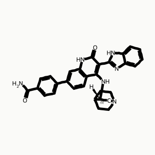 NC(=O)c1ccc(-c2ccc3c(N[C@@H]4CN5CCC4CC5)c(-c4nc5ccccc5[nH]4)c(=O)[nH]c3c2)cc1